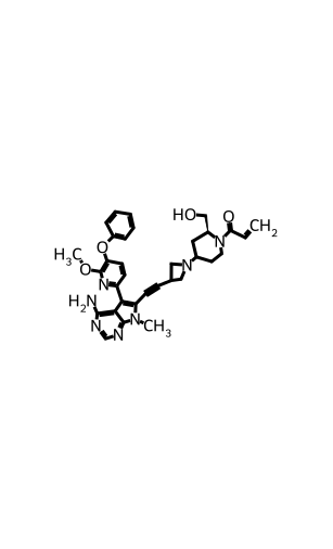 C=CC(=O)N1CCC(N2CC(C#Cc3c(-c4ccc(Oc5ccccc5)c(OC)n4)c4c(N)ncnc4n3C)C2)C[C@H]1CO